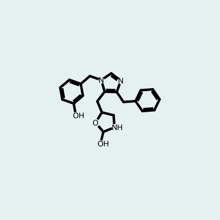 Oc1cccc(Cn2cnc(Cc3ccccc3)c2CC2CNC(O)O2)c1